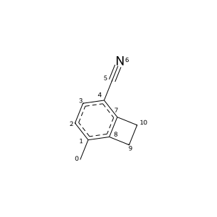 Cc1ccc(C#N)c2c1CC2